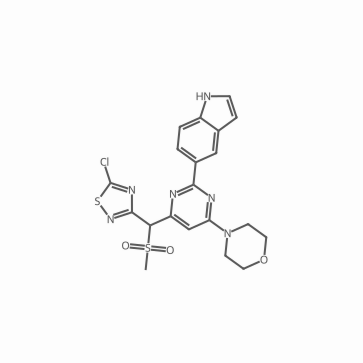 CS(=O)(=O)C(c1cc(N2CCOCC2)nc(-c2ccc3[nH]ccc3c2)n1)c1nsc(Cl)n1